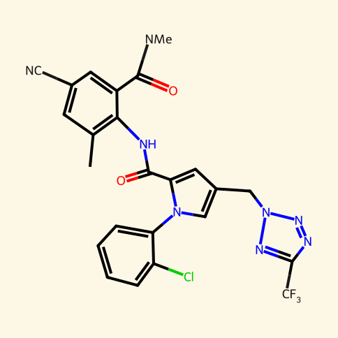 CNC(=O)c1cc(C#N)cc(C)c1NC(=O)c1cc(Cn2nnc(C(F)(F)F)n2)cn1-c1ccccc1Cl